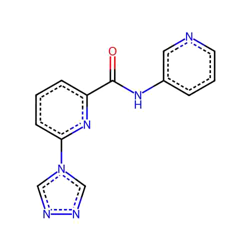 O=C(Nc1cccnc1)c1cccc(-n2cnnc2)n1